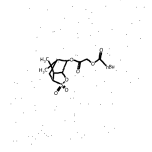 CCCCC(=O)OCC(=O)OC1C2OS(=O)(=O)C3CC1C(C)(C)C23